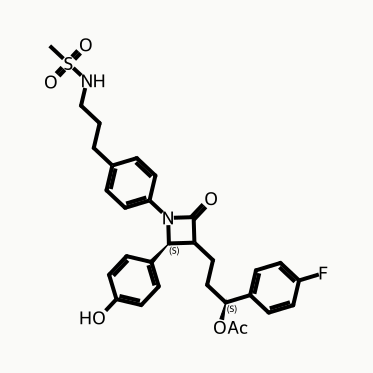 CC(=O)O[C@@H](CCC1C(=O)N(c2ccc(CCCNS(C)(=O)=O)cc2)[C@@H]1c1ccc(O)cc1)c1ccc(F)cc1